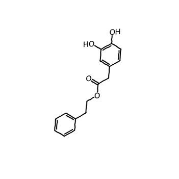 O=C(Cc1ccc(O)c(O)c1)OCCc1ccccc1